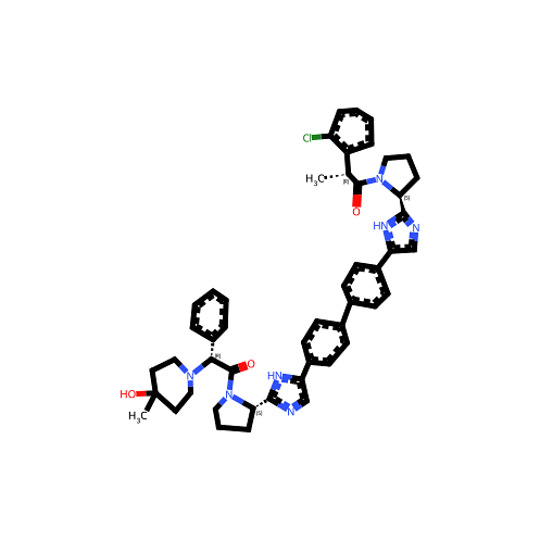 C[C@@H](C(=O)N1CCC[C@H]1c1ncc(-c2ccc(-c3ccc(-c4cnc([C@@H]5CCCN5C(=O)[C@@H](c5ccccc5)N5CCC(C)(O)CC5)[nH]4)cc3)cc2)[nH]1)c1ccccc1Cl